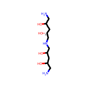 NCC(O)CC(O)CNC[C@H](O)CC(O)CN